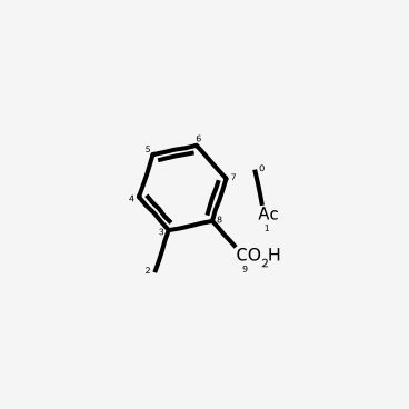 CC(C)=O.Cc1ccccc1C(=O)O